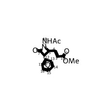 COC(=O)C=CC1CC(=O)N1NC(C)=O.c1cc2cc(c1)O2